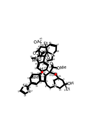 CC[C@]1(O)C[C@H]2CN(CCc3c([nH]c4ccc(-c5nccs5)cc34)[C@@](C(=O)OC)(C3C=C4C(=CC3OC)N(C)[C@@]35O[C@]3(C(=O)OC)[C@H](OC(C)=O)[C@]3(CC)C=CCN6CC[C@]45[C@@H]63)C2)C1